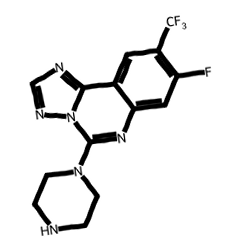 Fc1cc2nc(N3CCNCC3)n3ncnc3c2cc1C(F)(F)F